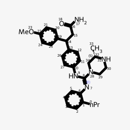 CCCc1ccccc1/N=C(\Nc1ccc(C(CC(N)=O)c2ccc(OC)cc2)cc1)N1CCN[C@@H](C)C1